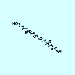 O=C(CCCCCO)OCCOCCOCCOC(=O)CCCCCO